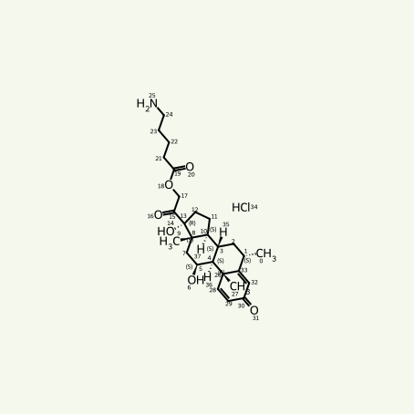 C[C@H]1C[C@@H]2[C@H]([C@@H](O)C[C@@]3(C)[C@H]2CC[C@]3(O)C(=O)COC(=O)CCCCN)[C@@]2(C)C=CC(=O)C=C12.Cl